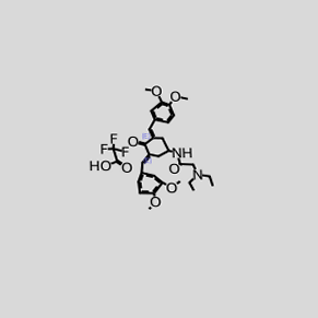 CCN(CC)CC(=O)NC1C/C(=C\c2ccc(OC)c(OC)c2)C(=O)/C(=C/c2ccc(OC)c(OC)c2)C1.O=C(O)C(F)(F)F